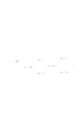 O=CCc1ccc(-c2cccnc2)cc1